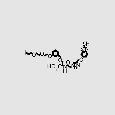 O=C(Cn1cc(COc2ccc3nc(S)sc3c2)nn1)N[C@@H](COCc1cccc(OCCOCCOCCI)c1)C(=O)O